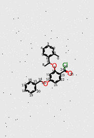 Cc1ccccc1C(C)Oc1cc(OCc2ccccc2)ccc1C(=O)Cl